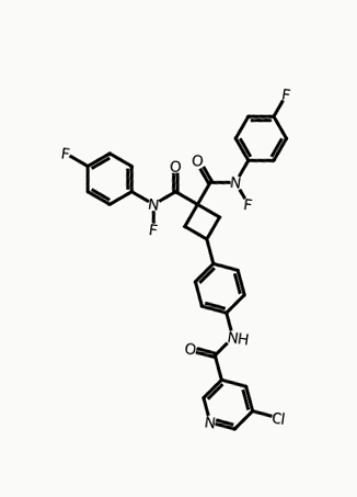 O=C(Nc1ccc(C2CC(C(=O)N(F)c3ccc(F)cc3)(C(=O)N(F)c3ccc(F)cc3)C2)cc1)c1cncc(Cl)c1